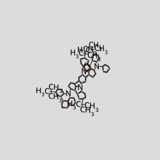 CC(C)(C)c1ccc(N(c2ccccc2)c2ccc3c4cc5c(cc4n4c6ccc(C(C)(C)C)cc6c2c34)c2ccc(N(c3ccccc3)c3ccc(C(C)(C)C)cc3-c3ccccc3)c3c4cc(C(C)(C)C)ccc4n5c23)c(-c2ccccc2)c1